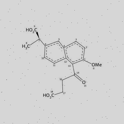 COc1ccc2cc([C@@H](C)C(=O)O)ccc2c1C(=O)CCC(=O)O